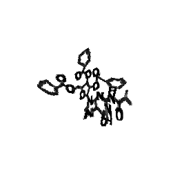 CC(C)C(=O)Nc1nc2c(ncn2[C@H]2O[C@@H](COC(=O)c3ccccc3)C(OC(=O)c3ccccc3)C2OC(=O)c2ccccc2)c(=O)[nH]1